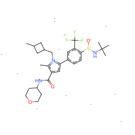 Cc1c(C(=O)NC2CCOCC2)cc(-c2ccc([S+]([O-])NC(C)(C)C)c(C(F)(F)F)c2)n1CC1CC(C)C1